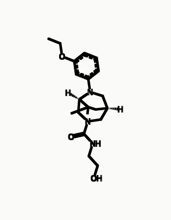 CCOc1cccc(N2C[C@H]3CN(C(=O)NCCO)C[C@@H]2C(C)(C)C3)c1